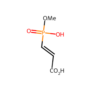 COP(=O)(O)C=CC(=O)O